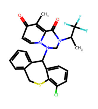 Cc1c2n(ccc1=O)N(C1c3ccccc3CSc3c(Cl)cccc31)CN(C(C)C(F)(F)F)C2=O